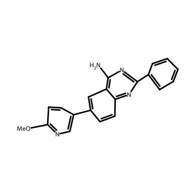 COc1ccc(-c2ccc3nc(-c4ccccc4)nc(N)c3c2)cn1